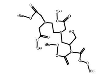 C=C(OOC(C)(C)C)N(C(=C)OOC(C)(C)C)C(CO)CN(CCN(CC(=O)OC(C)(C)C)CC(=O)OC(C)(C)C)CC(=O)OC(C)(C)C